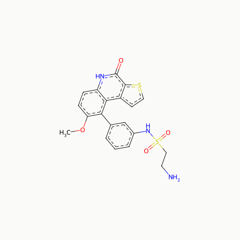 COc1ccc2[nH]c(=O)c3sccc3c2c1-c1cccc(NS(=O)(=O)CCN)c1